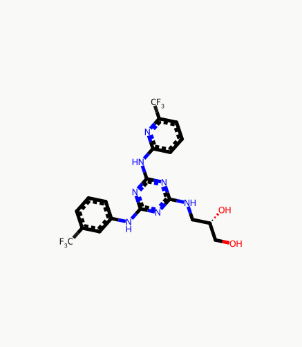 OC[C@@H](O)CNc1nc(Nc2cccc(C(F)(F)F)c2)nc(Nc2cccc(C(F)(F)F)n2)n1